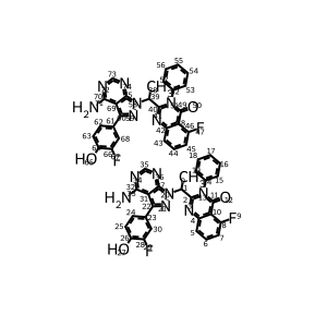 CC(c1nc2cccc(F)c2c(=O)n1-c1ccccc1)n1nc(-c2ccc(O)c(F)c2)c2c(N)ncnc21.CC(c1nc2cccc(F)c2c(=O)n1-c1ccccc1)n1nc(-c2ccc(O)c(F)c2)c2c(N)ncnc21